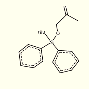 C=C(C)CO[Si](c1ccccc1)(c1ccccc1)C(C)(C)C